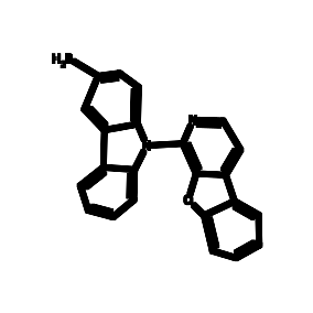 Bc1ccc2c(c1)c1ccccc1n2-c1nccc2c1oc1ccccc12